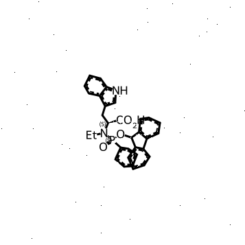 CCN([C@@H](Cc1c[nH]c2ccccc12)C(=O)O)[P@@](=O)(OC1c2ccccc2-c2ccccc21)c1ccccc1